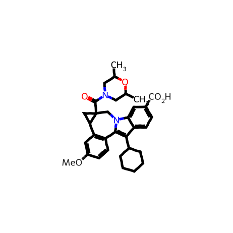 COc1ccc2c(c1)C1CC1(C(=O)N1CC(C)OC(C)C1)Cn1c-2c(C2CCCCC2)c2ccc(C(=O)O)cc21